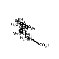 CCCOc1cc(OCCCCN(C)CC(=O)NCCCCCCCC(=O)O)cc(Oc2cc3c(cc2NS(=O)(=O)c2ccc(OC)c(OC)c2)n(C)c(=O)n3C)c1